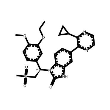 CCOc1cc([C@H](CS(C)(=O)=O)n2c(=O)[nH]c3cc(-c4nccnc4C4CC4)ccc32)ccc1OC